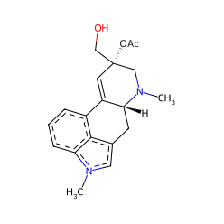 CC(=O)O[C@@]1(CO)C=C2c3cccc4c3c(cn4C)C[C@H]2N(C)C1